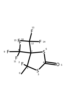 CC1(F)SC(=O)SC1(C(F)(F)F)C(F)(F)F